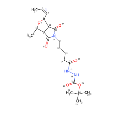 C/C=C\C1OC(C)C2C(=O)N(CCCCC(=O)NNC(=O)OC(C)(C)C)C(=O)C12